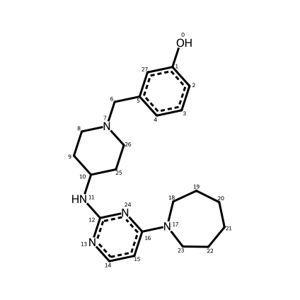 Oc1cccc(CN2CCC(Nc3nccc(N4CCCCCC4)n3)CC2)c1